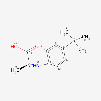 C[C@H](Nc1ccc(C(C)(C)C)cc1)C(=O)O